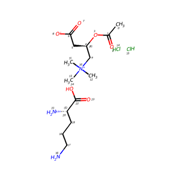 CC(=O)O[C@H](CC(=O)[O-])C[N+](C)(C)C.Cl.Cl.NCCC[C@H](N)C(=O)O